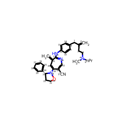 C=C(CCN(C)CCC)Cc1ccc(NC2=NC=C(C#N)C(N3OCC[C@@H]3c3ccccc3)=CC2=C)cc1